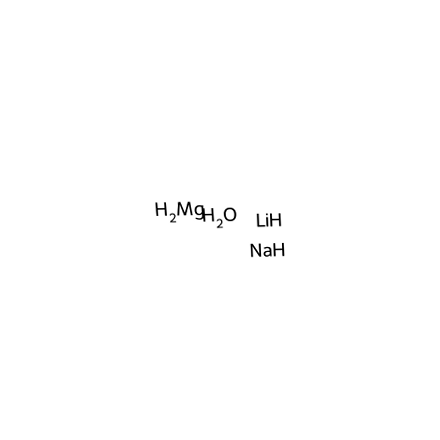 O.[LiH].[MgH2].[NaH]